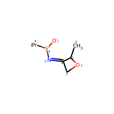 CC1OCC1=N[S+]([O-])C(C)C